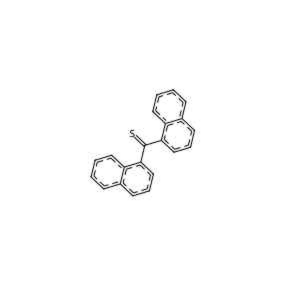 S=C(c1cccc2ccccc12)c1cccc2ccccc12